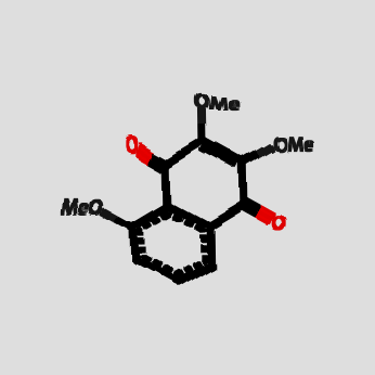 COC1=C(OC)C(=O)c2c(OC)cccc2C1=O